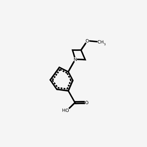 COC1CN(c2cccc(C(=O)O)c2)C1